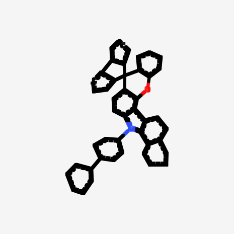 c1ccc(-c2ccc(-n3c4ccc5c(c4c4ccc6ccccc6c43)Oc3ccccc3C53c4ccccc4-c4ccccc43)cc2)cc1